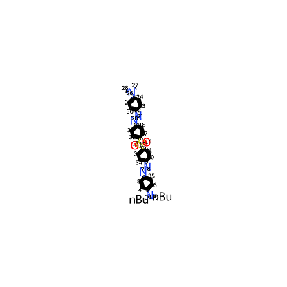 CCCCN(CCCC)c1ccc(N=Nc2ccc(S(=O)(=O)c3ccc(N=Nc4ccc(N(C)C)cc4)cc3)cc2)cc1